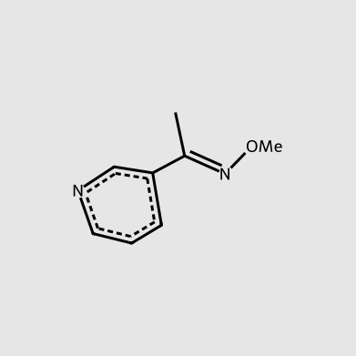 CO/N=C(\C)c1cccnc1